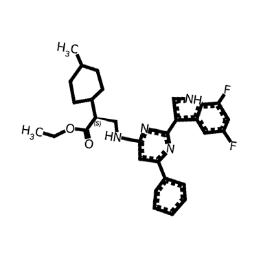 CCOC(=O)[C@H](CNc1cc(-c2ccccc2)nc(-c2c[nH]c3c(F)cc(F)cc23)n1)C1CCC(C)CC1